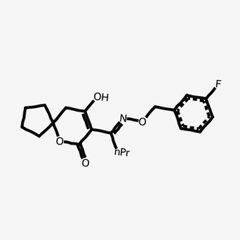 CCCC(=NOCc1cccc(F)c1)C1=C(O)CC2(CCCC2)OC1=O